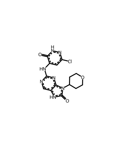 O=c1[nH]nc(Cl)cc1Nc1ncc2[nH]c(=O)n(C3CCOCC3)c2n1